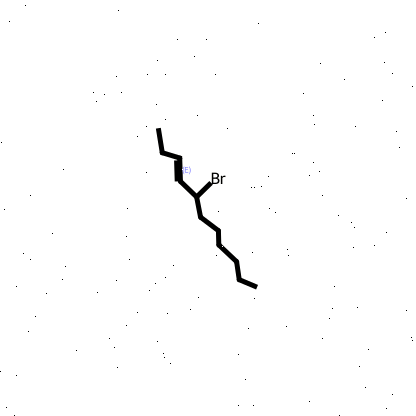 CC/C=C/C(Br)CCCCCC